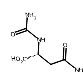 NC(=O)C[C@@H](NC(N)=O)C(=O)O